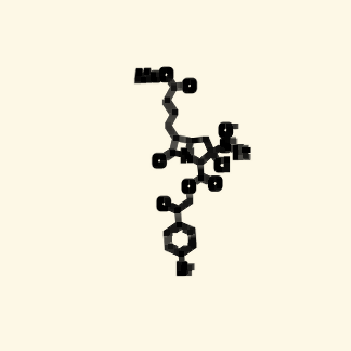 CC[S+]([O-])C1(Cl)CC2C(C/C=C/C(=O)OC)C(=O)N2C1C(=O)OCC(=O)c1ccc(Br)cc1